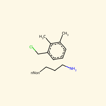 CCCCCCCCCCCCN.Cc1cccc(CCl)c1C